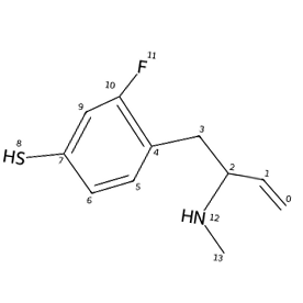 C=CC(Cc1ccc(S)cc1F)NC